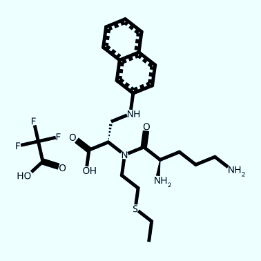 CCSCCN(C(=O)[C@H](N)CCCN)[C@@H](CNc1ccc2ccccc2c1)C(=O)O.O=C(O)C(F)(F)F